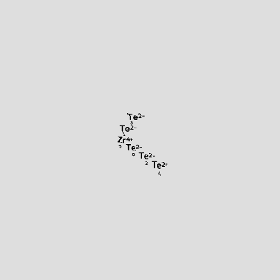 [Te-2].[Te-2].[Te-2].[Te-2].[Te-2].[Zr+4]